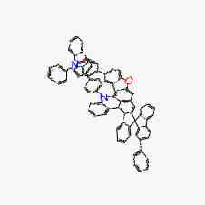 c1ccc(-c2ccc(N(c3ccccc3-c3cccc4c3-c3ccccc3C43c4ccccc4-c4ccc(-c5ccccc5)cc43)c3cccc4oc5ccc(-c6ccc7c(c6)c6ccccc6n7-c6ccccc6)cc5c34)cc2)cc1